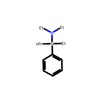 CCC[Si](CC)(c1ccccc1)N(CC)CC